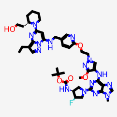 CCc1cnn2c(NCc3ccc(OCCn4cc(Nc5nc(N6C[C@@H](F)[C@H](NC(=O)OC(C)(C)C)C6)nc6c5ncn6C)c(OC)n4)nc3)cc(N3CCCC[C@H]3CCO)nc12